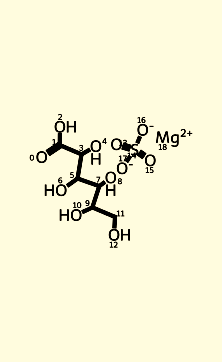 O=C(O)C(O)C(O)C(O)C(O)CO.O=S(=O)([O-])[O-].[Mg+2]